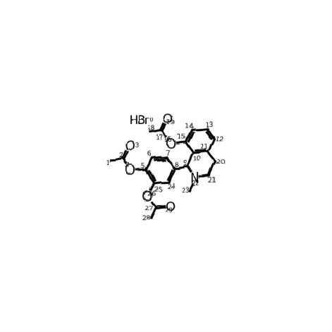 Br.CC(=O)Oc1ccc(C2c3c(cccc3OC(C)=O)CCN2C)cc1OC(C)=O